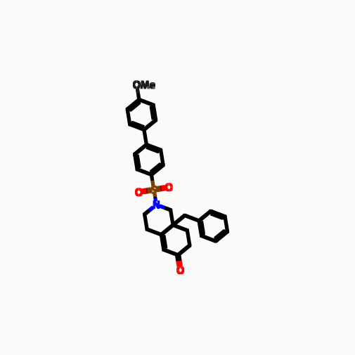 COc1ccc(-c2ccc(S(=O)(=O)N3CCC4=CC(=O)CCC4(Cc4ccccc4)C3)cc2)cc1